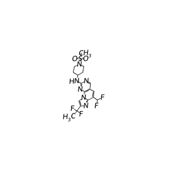 CC(F)(F)c1cn2c(n1)c(C(F)F)cc1cnc(NC3CCN(S(C)(=O)=O)CC3)nc12